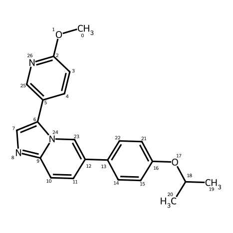 COc1ccc(-c2cnc3ccc(-c4ccc(OC(C)C)cc4)cn23)cn1